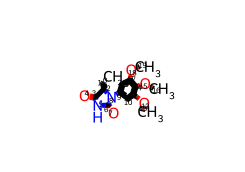 C/C=C1/C(=O)NC(=O)N1c1cc(OC)c(OC)c(OC)c1